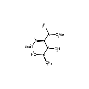 COC(/C(=N/OCC(C)C)[C@@H](O)[C@@H](C)O)C(C)C